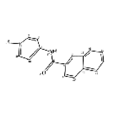 [CH2]c1ccc(NC(=O)c2ccc3ccccc3c2)cc1